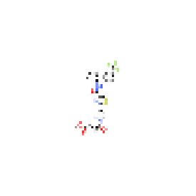 COC(=O)C[C@@H](C)C(=O)N1CCC(c2nc(C(=O)Nc3ccccc3-c3cccc(C(F)(F)F)c3)cs2)CC1